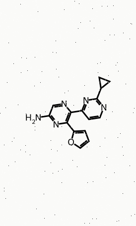 Nc1cnc(-c2ccnc(C3CC3)n2)c(-c2ccco2)n1